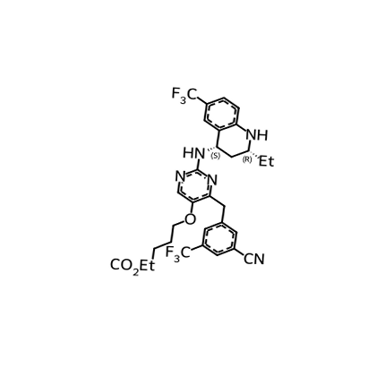 CCOC(=O)CCCOc1cnc(N[C@H]2C[C@@H](CC)Nc3ccc(C(F)(F)F)cc32)nc1Cc1cc(C#N)cc(C(F)(F)F)c1